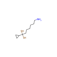 NCCCCCCC(S)(S)C1CC1